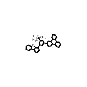 CC(C)(C)c1cc(-c2ccc3c4ccccc4c4ccccc4c3c2)cc(-c2cccc3c2oc2ccccc23)c1